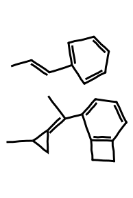 CC(=C1CC1C)c1cccc2c1CC2.CC=Cc1ccccc1